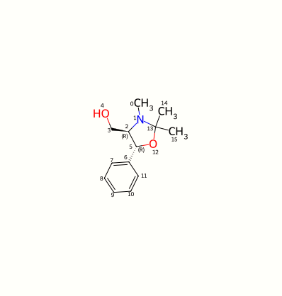 CN1[C@H](CO)[C@@H](c2ccccc2)OC1(C)C